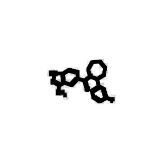 Nc1n[nH]c2ccc(C(=O)N3CCCCCC3c3cccc(F)c3)cc12